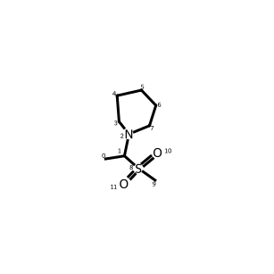 CC(N1CCCCC1)S(C)(=O)=O